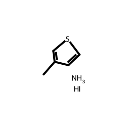 Cc1ccsc1.I.N